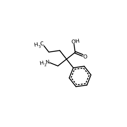 CCCC(CN)(C(=O)O)c1ccccc1